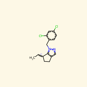 [CH2]/C=C1\CCc2cnn(Cc3ccc(Cl)cc3Cl)c21